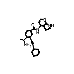 CC(N)c1ccc(C(=O)Nc2ccnc3[nH]ccc23)cc1C#Cc1ccccc1